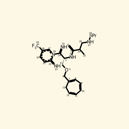 C=C(N[C@H](COCC1=CC=CC=CC1)C(=N)n1cc(C(F)(F)F)ccc1=N)C(C)CNCCC